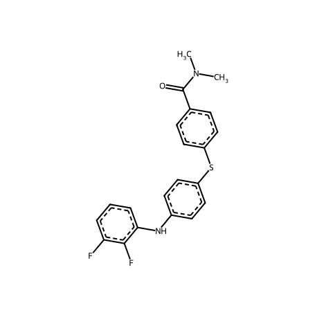 CN(C)C(=O)c1ccc(Sc2ccc(Nc3cccc(F)c3F)cc2)cc1